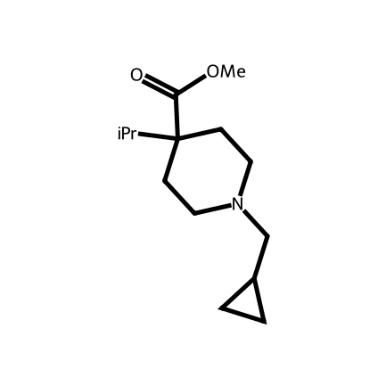 COC(=O)C1(C(C)C)CCN(CC2CC2)CC1